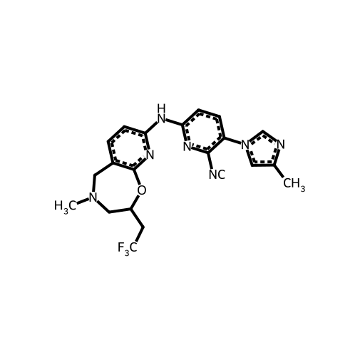 [C-]#[N+]c1nc(Nc2ccc3c(n2)OC(CC(F)(F)F)CN(C)C3)ccc1-n1cnc(C)c1